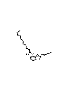 CCCCCC(=O)Oc1ccccc1OC(=O)CCCCCCCCC(C)C